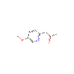 COc1ccc(CC(C)=O)nc1